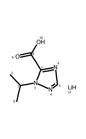 CC(C)n1ncnc1C(=O)O.[LiH]